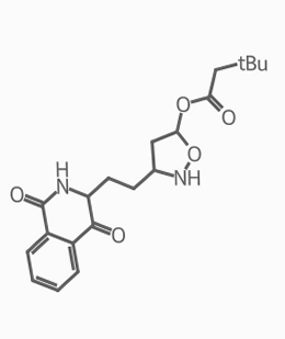 CC(C)(C)CC(=O)OC1CC(CCC2NC(=O)c3ccccc3C2=O)NO1